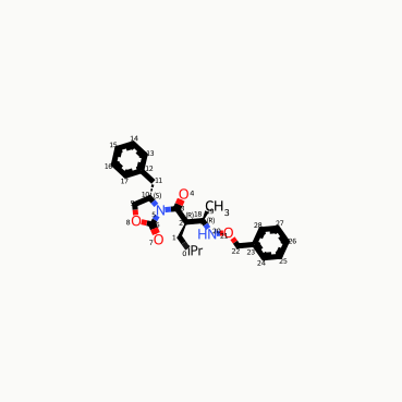 CC(C)C[C@@H](C(=O)N1C(=O)OC[C@@H]1Cc1ccccc1)[C@@H](C)NOCc1ccccc1